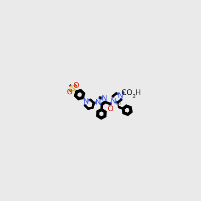 CS(=O)(=O)c1ccc(N2CCCC(n3cnc(C(=O)N4CCN(C(=O)O)C[C@H]4Cc4ccccc4)c3-c3ccccc3)C2)cc1